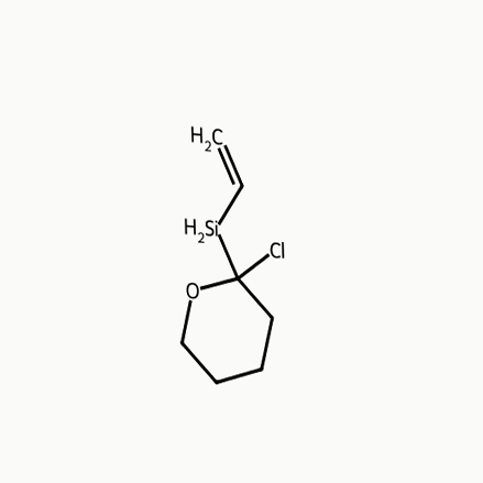 C=C[SiH2]C1(Cl)CCCCO1